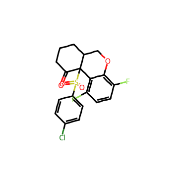 O=C1CCCC2COc3c(F)ccc(F)c3C12S(=O)(=O)c1ccc(Cl)cc1